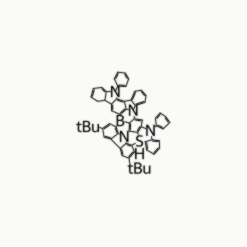 CC(C)(C)c1cc2c3c(c1)c1cc(C(C)(C)C)cc4c1n3-c1c3c(cc5c1[SH]4c1ccccc1N5c1ccccc1)-n1c4ccccc4c4c5c(cc(c41)B32)C1CC=CC=C1N5c1ccccc1